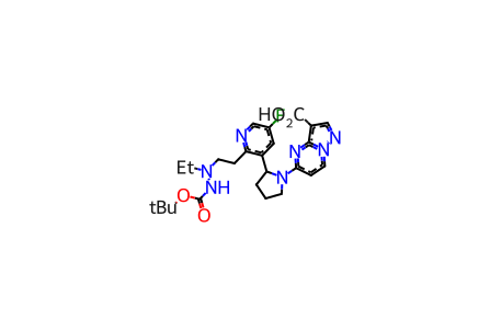 CCN(CCc1ncc(F)cc1C1CCCN1c1ccn2ncc(C(=O)O)c2n1)NC(=O)OC(C)(C)C